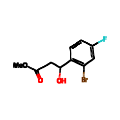 COC(=O)CC(O)c1ccc(F)cc1Br